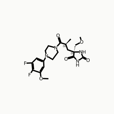 COC[C@]1(C[C@H](C)C(=O)N2CCN(c3cc(F)c(F)c(OC)c3)CC2)NC(=O)NC1=O